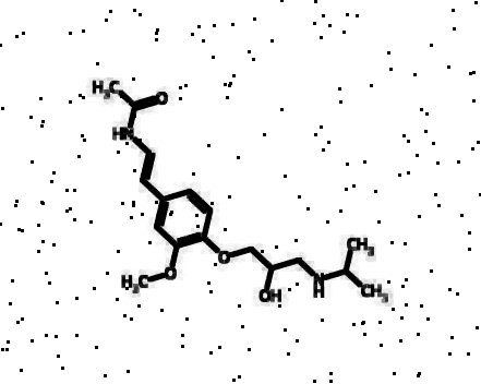 COc1cc(C=CNC(C)=O)ccc1OCC(O)CNC(C)C